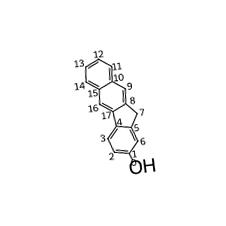 Oc1ccc2c(c1)Cc1cc3ccccc3cc1-2